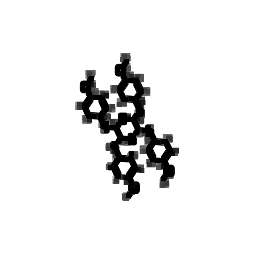 COc1ccc(SC2SC(Sc3ccc(OC)cc3)C(Sc3ccc(OC)cc3)SC2Sc2ccc(OC)cc2)cc1